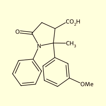 COc1cccc(C2(C)C(C(=O)O)CC(=O)N2c2ccccc2)c1